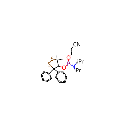 CC(C)N(C(C)C)P(OCCC#N)OC1C(C)(C)SSC1(c1ccccc1)c1ccccc1